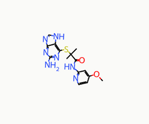 COc1ccnc(NC(=O)C(C)(C)Sc2nc(N)nc3nc[nH]c23)c1